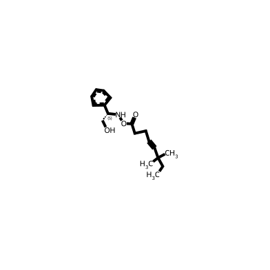 CCC(C)(C)C#CCCC(=O)ON[C@H](CO)c1ccccc1